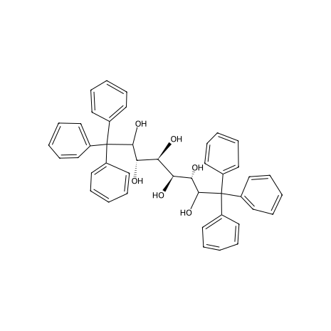 OC([C@@H](O)[C@@H](O)[C@H](O)[C@H](O)C(O)C(c1ccccc1)(c1ccccc1)c1ccccc1)C(c1ccccc1)(c1ccccc1)c1ccccc1